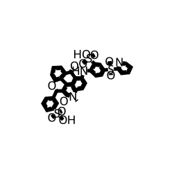 Cn1c(=O)c(C(=O)c2cccc(S(=O)(=O)O)c2)c2c3c(c(Nc4ccc(S(=O)(=O)c5ccccn5)cc4S(=O)(=O)O)ccc31)C(=O)c1ccccc1-2